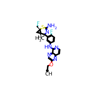 C#CCOc1cnc2c(Nc3ccc(F)c([C@]4(C)N=C(N)S[C@@]5(CF)C[C@H]54)c3)nccc2n1